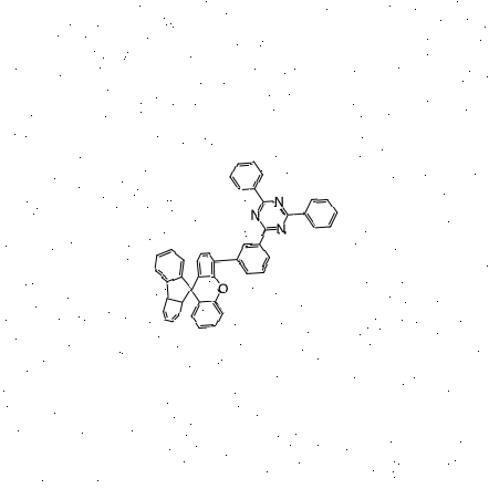 C1=CC2c3ccccc3C3(c4ccccc4Oc4c(-c5cccc(-c6nc(-c7ccccc7)nc(-c7ccccc7)n6)c5)cccc43)C2C=C1